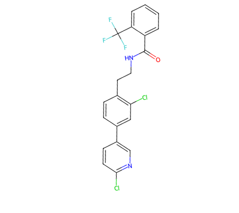 O=C(NCCc1ccc(-c2ccc(Cl)nc2)cc1Cl)c1ccccc1C(F)(F)F